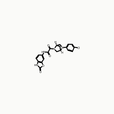 O=C(Nc1ccc2[nH]c(=O)oc2c1)C(=O)N1C[C@@H]2C[C@H]1CN2c1ccc(Cl)cc1